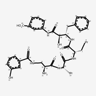 CC(C)C[C@H](NC(=O)[C@@H](NC(=O)[C@@H](N)CNC(=O)c1cccc(O)c1)C(C)C)C(=O)N[C@@H](Cc1ccccc1)[C@@H](O)C(=O)Nc1cccc(C(=O)O)c1